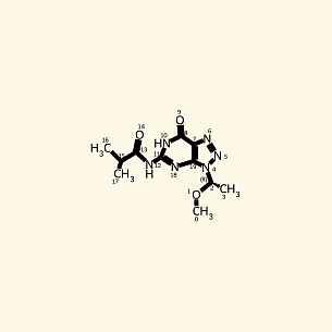 CO[C@H](C)n1nnc2c(=O)[nH]c(NC(=O)C(C)C)nc21